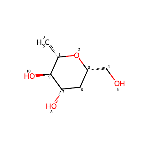 C[C@@H]1O[C@H](CO)C[C@H](O)[C@H]1O